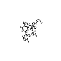 CCOP(=O)(Cc1cc(C(=O)OC)ccc1N)OCC